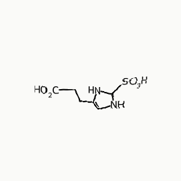 O=C(O)CCC1=CNC(S(=O)(=O)O)N1